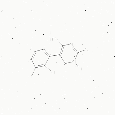 CN1CC(c2cccc(Cl)c2Cl)=C(N)N=C1N.I